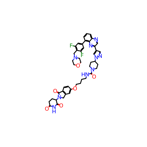 O=C1CCC(N2Cc3cc(OCCCCNC(=O)N4CCC(n5cc(-c6cnc7cccc(-c8cc(F)c(CN9CCOCC9)c(F)c8)c7n6)cn5)CC4)ccc3C2=O)C(=O)N1